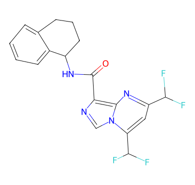 O=C(NC1CCCc2ccccc21)c1ncn2c(C(F)F)cc(C(F)F)nc12